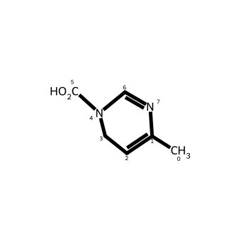 CC1=CCN(C(=O)O)C=N1